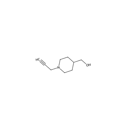 C#CCN1CCC(CO)CC1